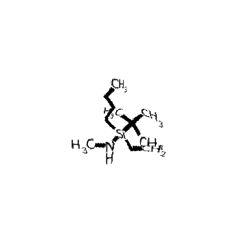 C=C[Si](CCCC)(NC)C(C)(C)C